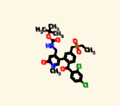 CCS(=O)(=O)Cc1ccc(C(=O)c2ccc(Cl)cc2Cl)c(-c2cn(C)c(=O)cc2CNC(=O)OC(C)(C)C)c1